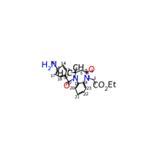 CCOC(=O)CN1C(=O)CC(C)(C)N(C(=O)c2ccc(N)cc2)c2ccccc21